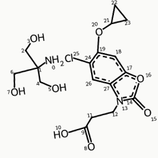 NC(CO)(CO)CO.O=C(O)CCn1c(=O)oc2cc(OC3CC3)c(Cl)cc21